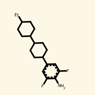 CCC1CCC(C2CCC(c3cc(F)c(N)c(F)c3)CC2)CC1